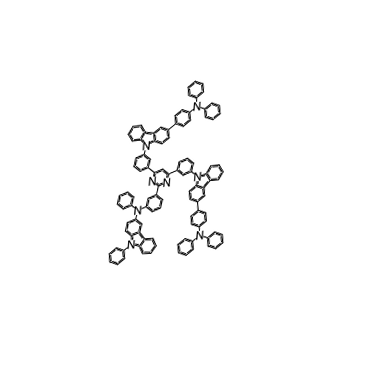 c1ccc(N(c2ccccc2)c2ccc(-c3ccc4c(c3)c3ccccc3n4-c3cccc(-c4cc(-c5cccc(-n6c7ccccc7c7cc(-c8ccc(N(c9ccccc9)c9ccccc9)cc8)ccc76)c5)nc(-c5cccc(N(c6ccccc6)c6ccc7c(c6)c6ccccc6n7-c6ccccc6)c5)n4)c3)cc2)cc1